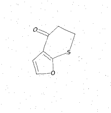 O=C1CCSc2occc21